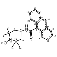 CC1(C)CC(NC(=O)c2c3ccccc3nc3ccccc23)CC(C)(C)N1[O]